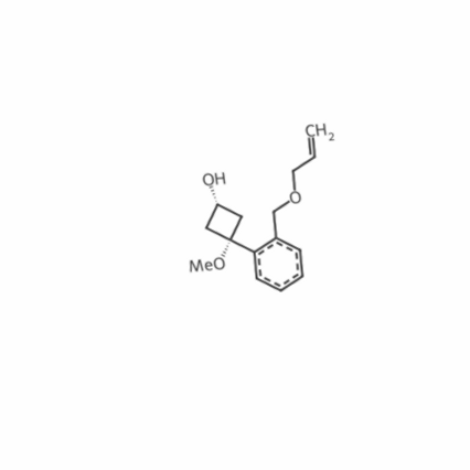 C=CCOCc1ccccc1[C@]1(OC)C[C@@H](O)C1